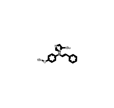 CC(C)(C)Oc1ccc(BC=Cc2ccccc2)cc1.CC(C)(C)c1cnc[nH]1